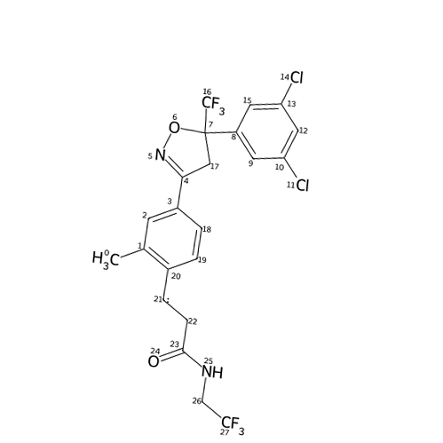 Cc1cc(C2=NOC(c3cc(Cl)cc(Cl)c3)(C(F)(F)F)C2)ccc1[C]CC(=O)NCC(F)(F)F